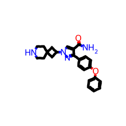 NC(=O)c1cn(C2CC3(CCNCC3)C2)nc1-c1ccc(Oc2ccccc2)cc1